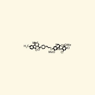 COc1cc(Nc2c(C#N)cnc3cc(OCCCN4CCN(C(=O)C(CSC)N5C(=O)c6ccc(C)cc6C5=O)CC4)c(OC)cc23)c(Cl)cc1Cl